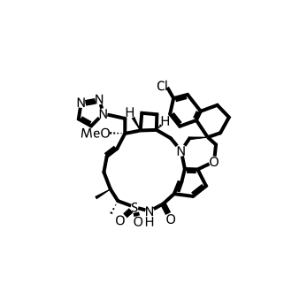 CO[C@@]1(Cn2ccnn2)/C=C/C[C@H](C)[C@@H](C)S(=O)(=O)NC(=O)c2ccc3c(c2)N(C[C@@H]2CC[C@H]21)C[C@@]1(CCCc2cc(Cl)ccc21)CO3